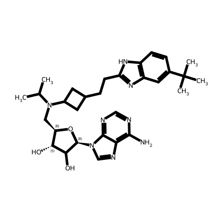 CC(C)N(C[C@H]1O[C@@H](n2cnc3c(N)ncnc32)C(O)[C@@H]1O)C1CC(CCc2nc3cc(C(C)(C)C)ccc3[nH]2)C1